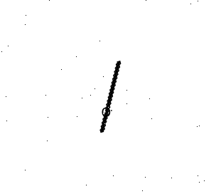 CCCCCCCCCCCCCCCCCCCCCCCCCCC[CH]OCCCCCCCCCCC